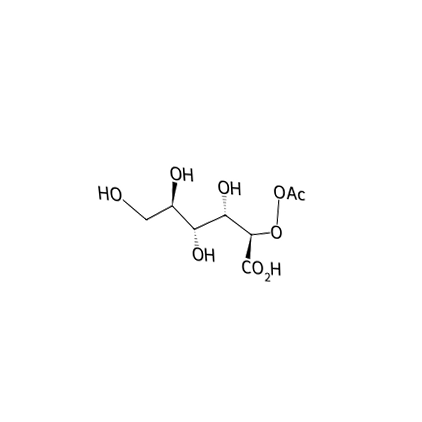 CC(=O)OO[C@@H](C(=O)O)[C@@H](O)[C@H](O)[C@H](O)CO